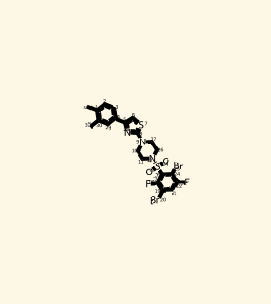 Cc1ccc(-c2csc(N3CCN(S(=O)(=O)c4c(F)c(Br)cc(F)c4Br)CC3)n2)cc1C